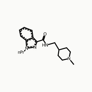 CCCn1nc(C(=O)NCC2CCN(C)CC2)c2ccccc21